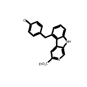 CCOC(=O)c1cc2c(cn1)[nH]c1cccc(Cc3ccc(Cl)cc3)c12